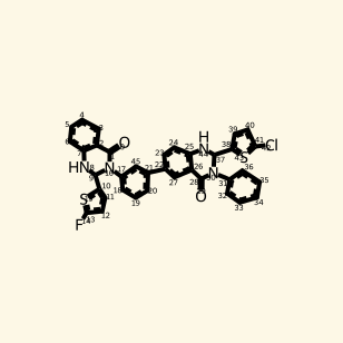 O=C1c2ccccc2NC(c2ccc(F)s2)N1c1cccc(-c2ccc3c(c2)C(=O)N(c2ccccc2)C(c2ccc(Cl)s2)N3)c1